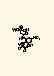 O=C(CP(=O)(O)O)Nc1cc([N+](=O)[O-])cc2[nH]c(=O)c(=O)[nH]c12